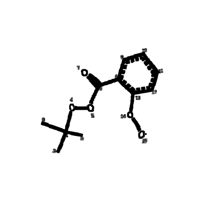 CC(C)(C)OOC(=O)c1ccccc1O[O]